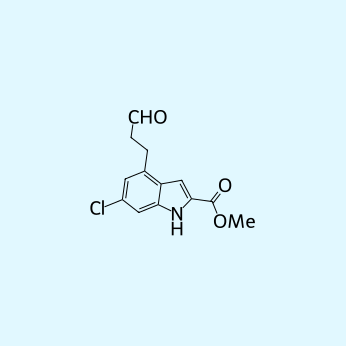 COC(=O)c1cc2c(CCC=O)cc(Cl)cc2[nH]1